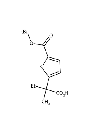 CCC(C)(C(=O)O)c1ccc(C(=O)OC(C)(C)C)s1